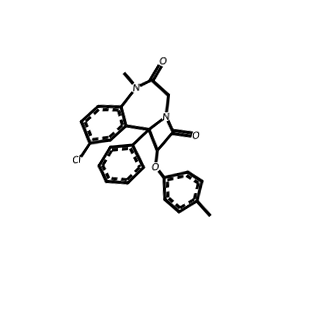 Cc1ccc(OC2C(=O)N3CC(=O)N(C)c4ccc(Cl)cc4C23c2ccccc2)cc1